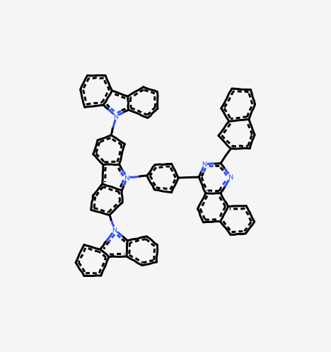 c1ccc2cc(-c3nc(-c4ccc(-n5c6cc(-n7c8ccccc8c8ccccc87)ccc6c6ccc(-n7c8ccccc8c8ccccc87)cc65)cc4)c4ccc5ccccc5c4n3)ccc2c1